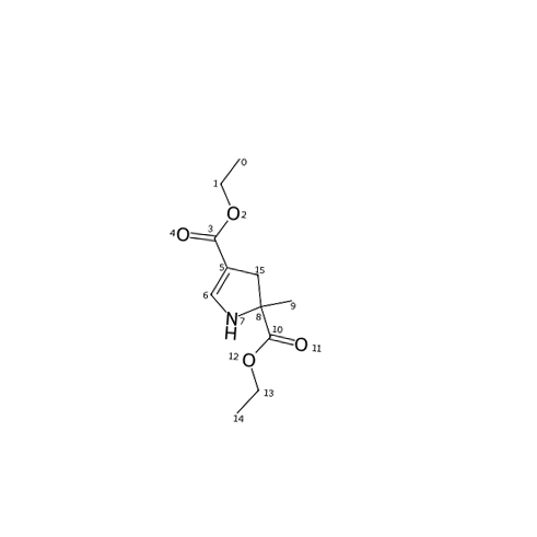 CCOC(=O)C1=CNC(C)(C(=O)OCC)C1